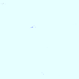 COc1cccc(C[C@@H](N)COc2ccc3cnc(C)cc3c2C(=O)OCc2ccccc2)c1.Cl.Cl